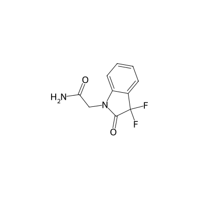 NC(=O)CN1C(=O)C(F)(F)c2ccccc21